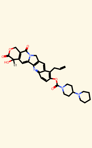 C=CCc1c(OC(=O)N2CCC(N3CCCCC3)CC2)ccc2nc3c(cc12)Cn1c-3cc2c(c1=O)COC(=O)C2(O)CC